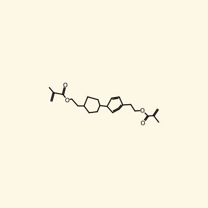 C=C(C)C(=O)OCCC1=C=CC(C2CCC(CCOC(=O)C(=C)C)CC2)C=C1